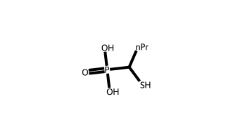 CCCC(S)P(=O)(O)O